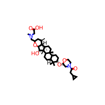 C[C@@H]1CC(CN(C)CC(=O)O)OC2[C@H]1[C@@]1(C)CCC34C[C@@]35CC[C@H](O[C@H]3CN(C(=O)CC6CC6)CCO3)C(C)(C)[C@@H]5CCC4[C@]1(C)[C@H]2O